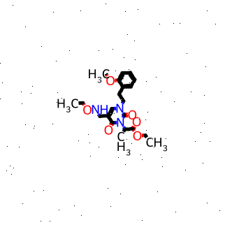 CCONCc1cn(CCc2ccccc2OC)c(=O)n(C(C)C(=O)OCC)c1=O